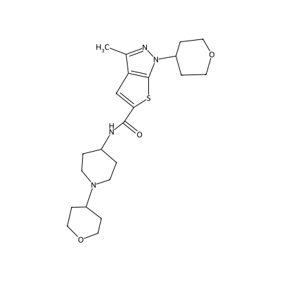 Cc1nn(C2CCOCC2)c2sc(C(=O)NC3CCN(C4CCOCC4)CC3)cc12